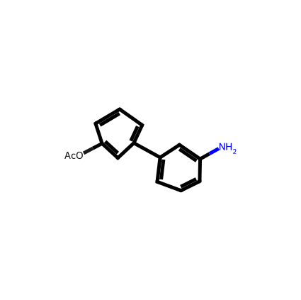 CC(=O)Oc1cccc(-c2cccc(N)c2)c1